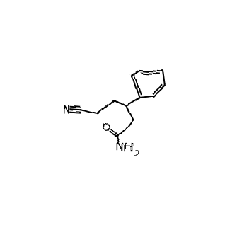 N#CCCC(CC(N)=O)c1ccccc1